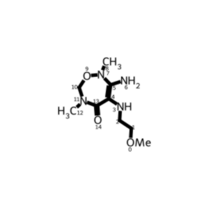 COCCNC1=C(N)N(C)OCN(C)C1=O